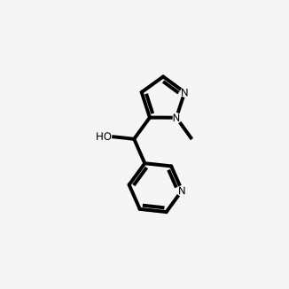 Cn1nccc1C(O)c1cccnc1